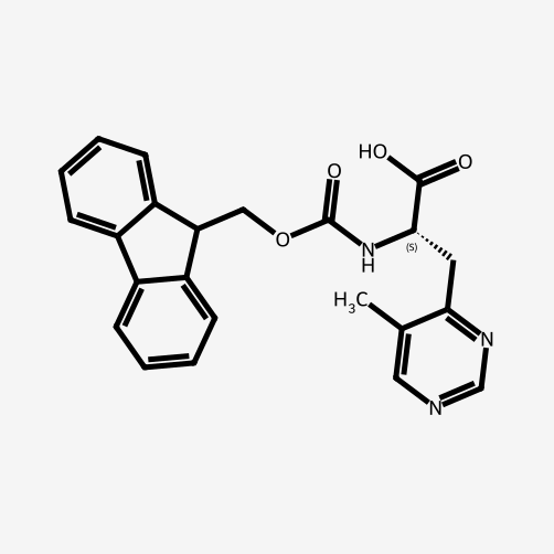 Cc1cncnc1C[C@H](NC(=O)OCC1c2ccccc2-c2ccccc21)C(=O)O